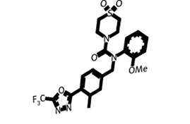 COc1ccccc1N(CC1=CC=C(c2nnc(C(F)(F)F)o2)C(C)C1)C(=O)N1CCS(=O)(=O)CC1